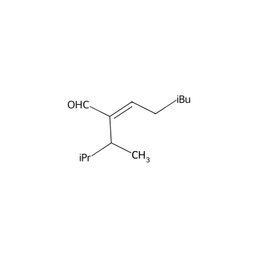 CCC(C)CC=C(C=O)C(C)C(C)C